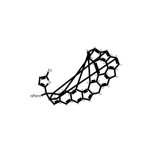 CCCCCC1(c2ccc(CC)s2)C23C=c4cc5cc6cc7c8c6c6c5c5c4C21c1c2c(cc4c9c%10c(cc(c%11c%10c%10c(c1c5c6c%10c8%11)c29)C7)C4)C3